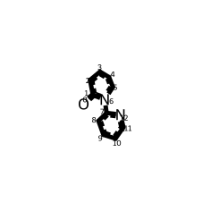 O=c1ccccn1-c1ccc[c]n1